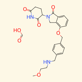 COCCNCc1ccc(COc2cccc3c2CN(C2CCC(=O)NC2=O)C3=O)cc1.O=CO